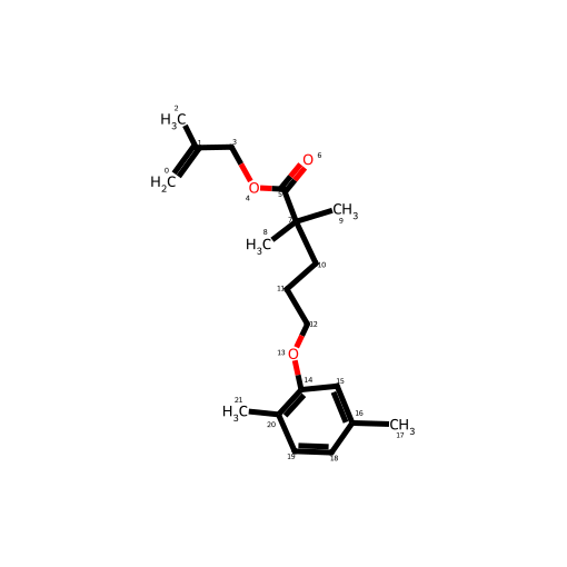 C=C(C)COC(=O)C(C)(C)CCCOc1cc(C)ccc1C